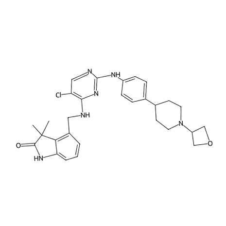 CC1(C)C(=O)Nc2cccc(CNc3nc(Nc4ccc(C5CCN(C6COC6)CC5)cc4)ncc3Cl)c21